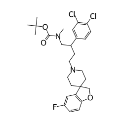 CN(CC(CCN1CCC2(CC1)COc1ccc(F)cc12)c1ccc(Cl)c(Cl)c1)C(=O)OC(C)(C)C